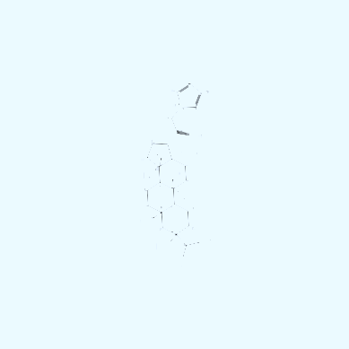 C[C@]12CC[C@H]3[C@@H](CC[C@H]4C[C@@](O)(C(F)F)CC[C@@H]43)[C@@H]1CC[C@@H]2C(=O)Cn1cccc1